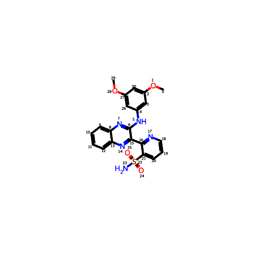 COc1cc(Nc2nc3ccccc3nc2-c2ncccc2S(N)(=O)=O)cc(OC)c1